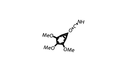 COc1c2cc-2c(OC)c1OC.N=C=O